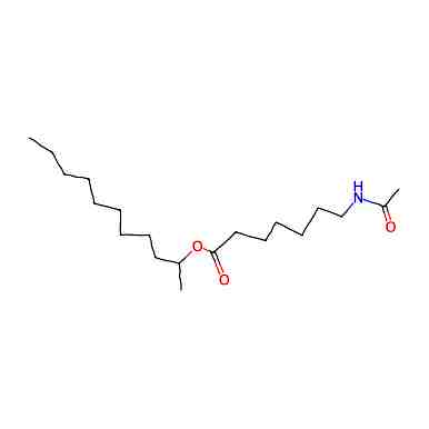 CCCCCCCCCC(C)OC(=O)CCCCCCNC(C)=O